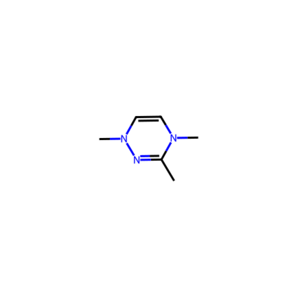 CC1=NN(C)C=CN1C